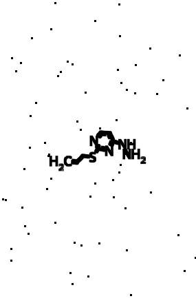 C=CCSc1nccc(NN)n1